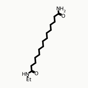 CCNC(=O)CCCCCCCCCCCCCC(N)=O